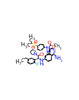 CCc1ccc(F)c([C@H](Nc2ccc3c(N)nccc3c2)C(=O)N2CCC[C@@H]2c2cc(NC(=O)OC)ccc2S(=O)(=O)C(C)C)c1